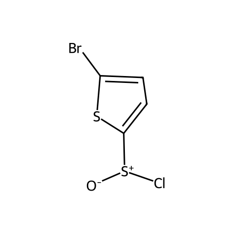 [O-][S+](Cl)c1ccc(Br)s1